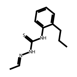 C/C=N/NC(=S)Nc1ccccc1CCC